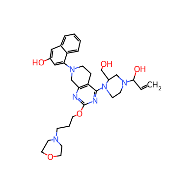 C=CC(O)N1CCN(c2nc(OCCCN3CCOCC3)nc3c2CCN(c2cc(O)cc4ccccc24)C3)C(CO)C1